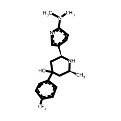 C[C@H]1CC(O)(c2ccc(C(F)(F)F)cc2)C[C@@H](c2ccc(N(C)C)nc2)N1